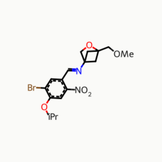 COCC12CC(N=Cc3cc(Br)c(OC(C)C)cc3[N+](=O)[O-])(CO1)C2